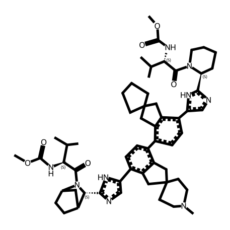 COC(=O)N[C@H](C(=O)N1CCCC[C@H]1c1ncc(-c2ccc(-c3ccc(-c4cnc([C@@H]5C6CCC(C6)N5C(=O)[C@@H](NC(=O)OC)C(C)C)[nH]4)c4c3CC3(CCN(C)CC3)C4)c3c2CC2(CCCC2)C3)[nH]1)C(C)C